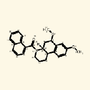 COc1ccc2c(c1)C(OC)C[C@@H]1C2CCCN1C(=O)c1cccc2ccccc12